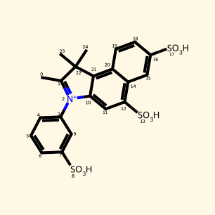 CC1=[N+](c2cccc(S(=O)(=O)O)c2)c2cc(S(=O)(=O)O)c3cc(S(=O)(=O)O)ccc3c2C1(C)C